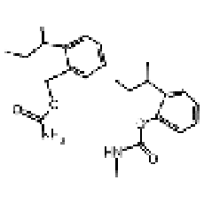 CCC(C)c1ccccc1COC(N)=O.CCC(C)c1ccccc1OC(=O)NC